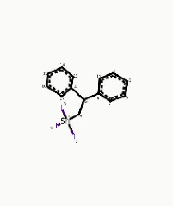 [I][Sn]([I])([I])[CH2]C(c1ccccc1)c1ccccc1